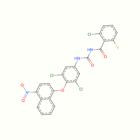 O=C(NC(=O)c1c(F)cccc1Cl)Nc1cc(Cl)c(Oc2ccc([N+](=O)[O-])c3ccccc23)c(Cl)c1